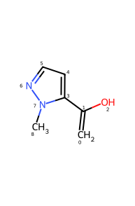 C=C(O)c1ccnn1C